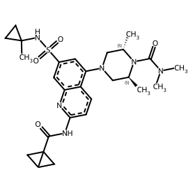 C[C@H]1CN(c2cc(S(=O)(=O)NC3(C)CC3)cc3nc(NC(=O)C45CC4C5)ccc23)C[C@H](C)N1C(=O)N(C)C